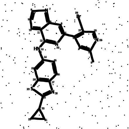 Cc1cc(-c2cc3ncccc3c(Nc3ccc4nc(C5CC5)sc4c3)n2)c(Br)cn1